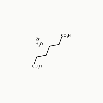 O.O=C(O)CCCCC(=O)O.[Zr]